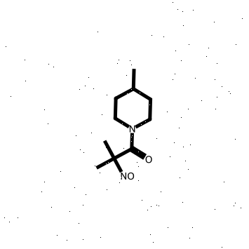 CC1CCN(C(=O)C(C)(C)N=O)CC1